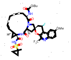 COc1ccc2nc(C(F)(F)F)c3c(c2c1)[C@H](F)C[C@]1(C[C@H]2C(=O)N[C@]4(C(=O)NS(=O)(=O)C5(C)CC5)C[C@H]4/C=C\CCCCC[C@H](NC(=O)OCC(C)C)C(=O)N2C1)O3